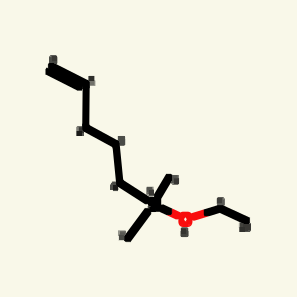 C=CCCC[Si](C)(C)OCC